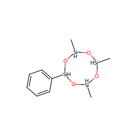 C[SiH]1O[SiH](C)O[SiH](c2ccccc2)O[SiH](C)O1